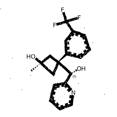 C[C@]1(O)C[C@](c2cccc(C(F)(F)F)c2)([C@H](O)c2ccccn2)C1